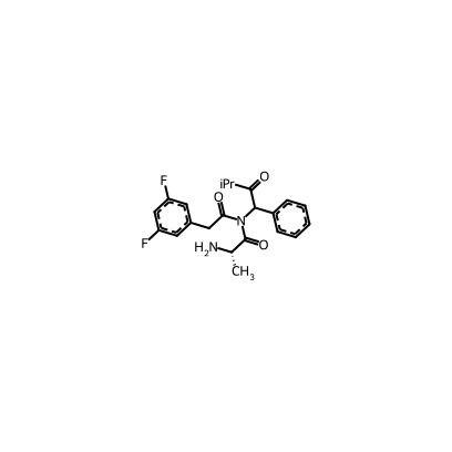 CC(C)C(=O)C(c1ccccc1)N(C(=O)Cc1cc(F)cc(F)c1)C(=O)[C@H](C)N